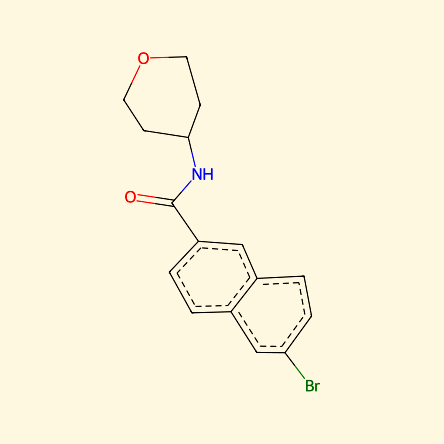 O=C(NC1CCOCC1)c1ccc2cc(Br)ccc2c1